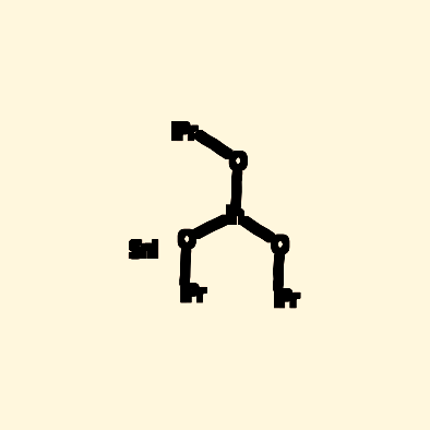 CC(C)[O][In]([O]C(C)C)[O]C(C)C.[Sn]